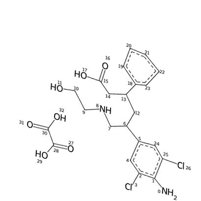 Nc1c(Cl)cc(C(CNCCO)CC(CC(=O)O)c2ccccc2)cc1Cl.O=C(O)C(=O)O